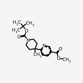 COC(=O)c1ccc(C2(C)CCN(C(=O)OC(C)(C)C)CC2)nc1